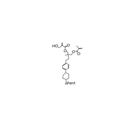 C=C(C)C(=O)OCC(C)(CCc1ccc(C2CCC(CCCCC)CC2)cc1)COC(=O)C(=C)CO